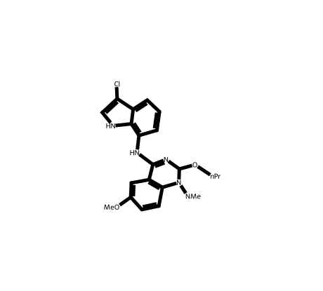 CCCOC1N=C(Nc2cccc3c(Cl)c[nH]c23)c2cc(OC)ccc2N1NC